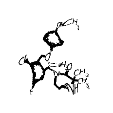 COc1ccc(OCc2c(Cl)cc(F)cc2C(C)N2CCNC(C)(C)C2=O)cc1